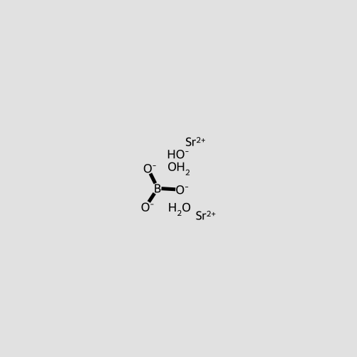 O.O.[O-]B([O-])[O-].[OH-].[Sr+2].[Sr+2]